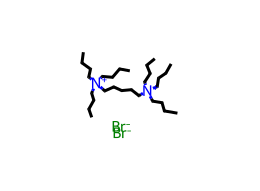 CCCC[N+](CCCC)(CCCC)CCCCC[N+](CCCC)(CCCC)CCCC.[Br-].[Br-]